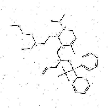 C=CC[C@@H](C[C@@H]1C(C)=CC[C@@H](C(C)C)[C@H]1CC[C@@H](C=C)OCOC)O[Si](c1ccccc1)(c1ccccc1)C(C)(C)C